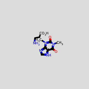 Cn1c(=O)c2[nH]cnc2n(C)c1=O.NCCC(=O)O